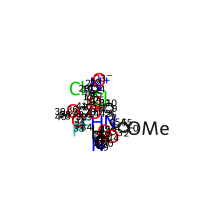 COc1ccc(C(NCc2cccc(C(=O)OC(Cc3c(Cl)c[n+]([O-])cc3Cl)c3ccc(OC(F)F)c(OCC4CC4)c3)c2)C(=O)O[C@H]2CN3CCC2CC3)cc1